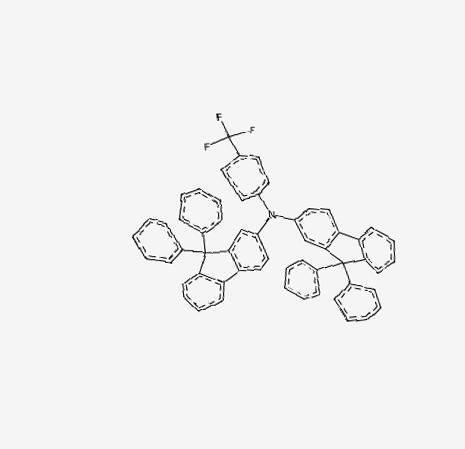 FC(F)(F)c1ccc(N(c2ccc3c(c2)C(c2ccccc2)(c2ccccc2)c2ccccc2-3)c2ccc3c(c2)C(c2ccccc2)(c2ccccc2)c2ccccc2-3)cc1